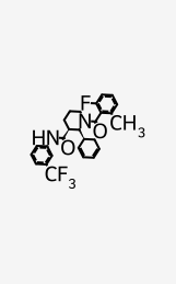 Cc1cccc(F)c1C(=O)N1CCC[C@H](C(=O)Nc2cccc(C(F)(F)F)c2)C1[C@@H]1C=CC=CC1